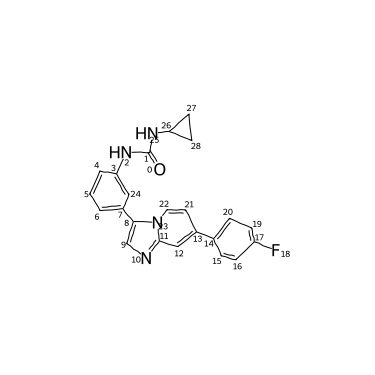 O=C(Nc1cccc(-c2cnc3cc(-c4ccc(F)cc4)ccn23)c1)NC1CC1